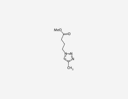 COC(=O)CCCn1cc(C)nn1